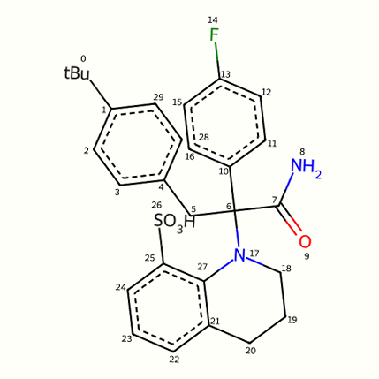 CC(C)(C)c1ccc(CC(C(N)=O)(c2ccc(F)cc2)N2CCCc3cccc(S(=O)(=O)O)c32)cc1